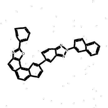 c1ccc(-c2nc3ccc4ccc5ccc(-c6ccc7nn(-c8ccc9ccccc9c8)nc7c6)cc5c4c3o2)cc1